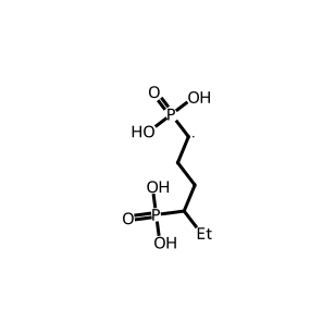 CCC(CC[CH]P(=O)(O)O)P(=O)(O)O